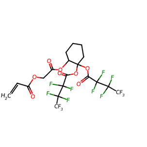 C=CC(=O)OCC(=O)OC1CCCCC1(OC(=O)C(F)(F)C(F)(F)C(F)(F)F)OC(=O)C(F)(F)C(F)(F)C(F)(F)F